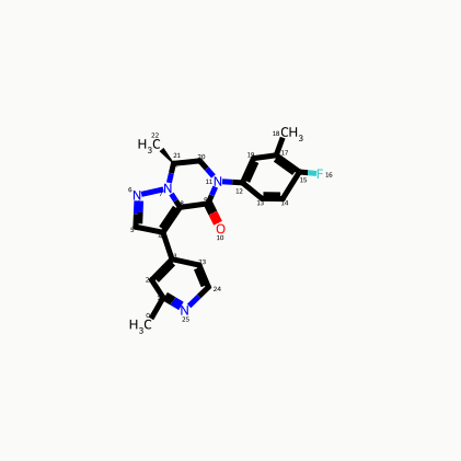 Cc1cc(-c2cnn3c2C(=O)N(c2ccc(F)c(C)c2)C[C@@H]3C)ccn1